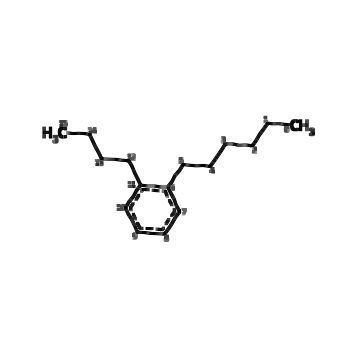 CCCCCCc1ccccc1CCCC